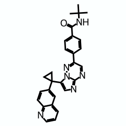 CC(C)(C)NC(=O)c1ccc(-c2cnc3ncc(C4(c5ccc6ncccc6c5)CC4)n3n2)cc1